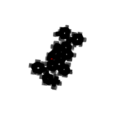 Cc1cccc(N(c2ccccc2)c2ccc3c4c(ccc3c2)-c2c(c3ccc(N(c5ccccc5)c5cccc([Si](C)(C)C)c5)cc3c3ccccc23)C42c3ccccc3-c3ccccc32)c1